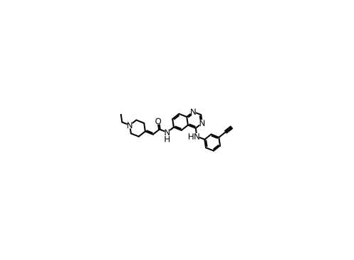 C#Cc1cccc(Nc2ncnc3ccc(NC(=O)C=C4CCN(CC)CC4)cc23)c1